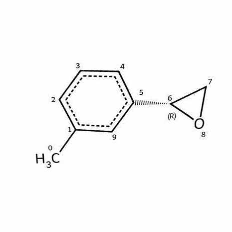 Cc1cccc([C@@H]2CO2)c1